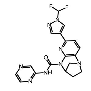 O=C(Nc1cnccn1)N1c2nc(-c3cnn(C(F)F)c3)ccc2N2CCC1C2